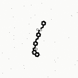 O=C(OCCc1ccccc1)c1ccc(C=Cc2ccc(-c3cc4ccc5ccccc5c4o3)cc2)cc1